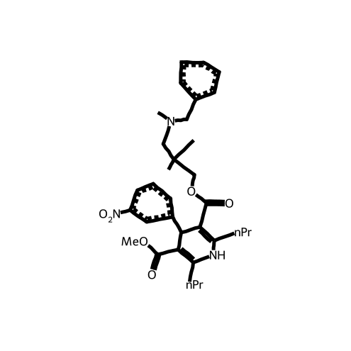 CCCC1=C(C(=O)OC)C(c2cccc([N+](=O)[O-])c2)C(C(=O)OCC(C)(C)CN(C)Cc2ccccc2)=C(CCC)N1